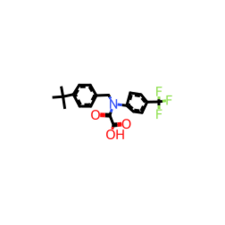 CC(C)(C)c1ccc(CN(C(=O)C(=O)O)c2ccc(C(F)(F)F)cc2)cc1